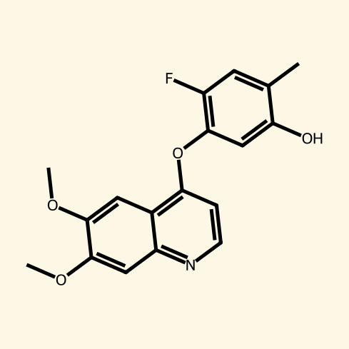 COc1cc2nccc(Oc3cc(O)c(C)cc3F)c2cc1OC